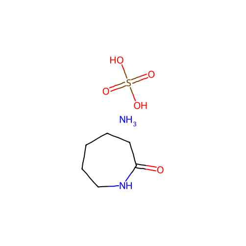 N.O=C1CCCCCN1.O=S(=O)(O)O